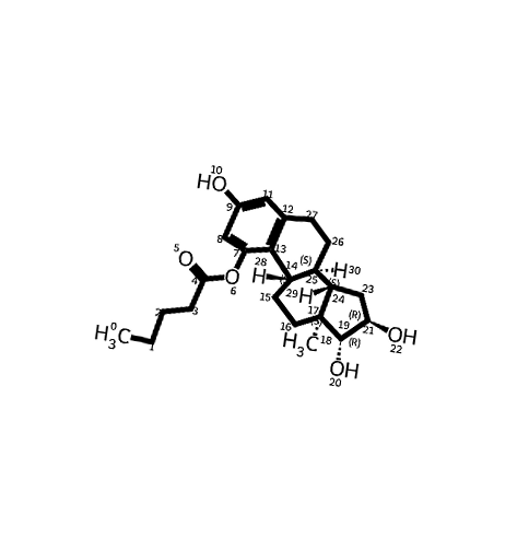 CCCCC(=O)Oc1cc(O)cc2c1[C@H]1CC[C@]3(C)[C@@H](O)[C@H](O)C[C@H]3[C@@H]1CC2